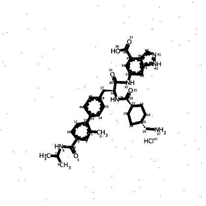 Cc1cc(C(=O)NC(C)C)ccc1-c1ccc(C[C@H](NC(=O)[C@H]2CC[C@H](CN)CC2)C(=O)Nc2cc(C(=O)O)c3cn[nH]c3c2)cc1.Cl